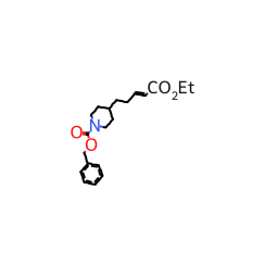 CCOC(=O)C=CCCC1CCN(C(=O)OCc2ccccc2)CC1